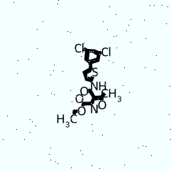 CCOC(=O)c1noc(C)c1C(=O)Nc1ccc(-c2cc(Cl)cc(Cl)c2)s1